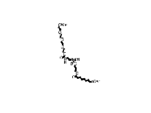 CCCCCCCCCCCCCCCCCC(=O)OCCCOP(=O)(O)OCCNC(=O)OCCOCCOCCOCCOC